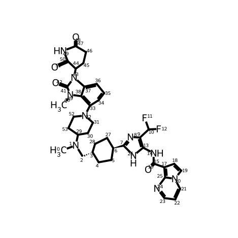 CN(C[C@H]1CC[C@H](c2nc(C(F)F)c(NC(=O)c3ccn4cccnc34)[nH]2)CC1)C1CCN(c2cccc3c2n(C)c(=O)n3C2CCC(=O)NC2=O)CC1